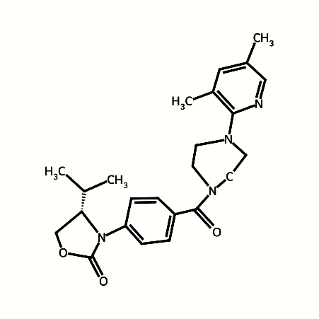 Cc1cnc(N2CCN(C(=O)c3ccc(N4C(=O)OC[C@@H]4C(C)C)cc3)CC2)c(C)c1